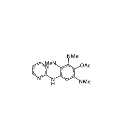 CNc1cc(Nc2ncccn2)c(NC)c(NC)c1OC(C)=O